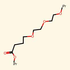 CC(C)OCCOCCOCCCC(=O)OC(C)C